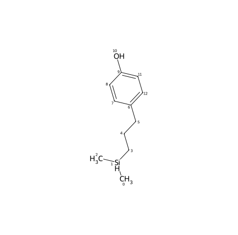 C[SiH](C)CCCc1ccc(O)cc1